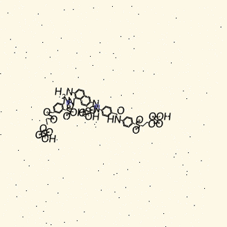 Nc1ccc2cc(/N=N/c3ccc(C(=O)Nc4ccc(S(=O)(=O)CCOS(=O)(=O)O)cc4)cc3)c(S(=O)(=O)O)cc2c1/N=N/c1ccc(S(=O)(=O)CCOS(=O)(=O)O)cc1S(=O)(=O)O